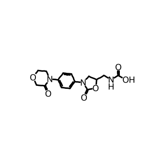 O=C(O)NCC1CN(c2ccc(N3CCOCC3=O)cc2)C(=O)O1